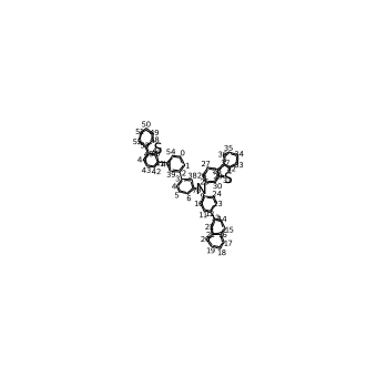 c1cc(-c2cccc(N(c3ccc(-c4ccc5ccccc5c4)cc3)c3ccc4c(c3)sc3ccccc34)c2)cc(-c2cccc3c2sc2ccccc23)c1